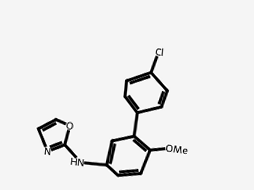 COc1ccc(Nc2ncco2)cc1-c1ccc(Cl)cc1